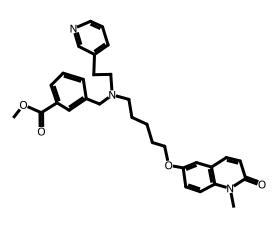 COC(=O)c1cccc(CN(CCCCCOc2ccc3c(ccc(=O)n3C)c2)CCc2cccnc2)c1